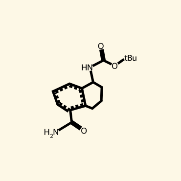 CC(C)(C)OC(=O)NC1CCCc2c(C(N)=O)cccc21